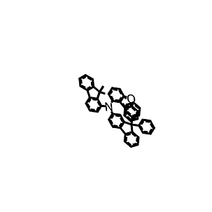 CC1(C)c2ccccc2-c2cccc(N(c3ccc4c(c3)C(c3ccccc3)(c3ccccc3)c3ccccc3-4)c3cccc4oc5ccccc5c34)c21